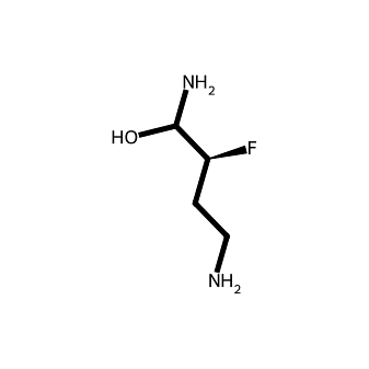 NCC[C@H](F)C(N)O